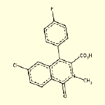 Cn1c(C(=O)O)c(-c2ccc(F)cc2)c2cc(Cl)ccc2c1=O